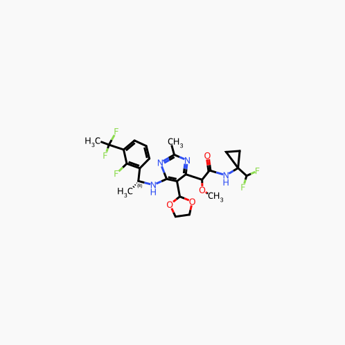 COC(C(=O)NC1(C(F)F)CC1)c1nc(C)nc(N[C@H](C)c2cccc(C(C)(F)F)c2F)c1C1OCCO1